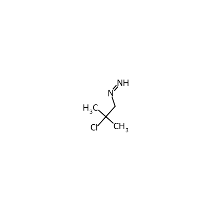 CC(C)(Cl)CN=N